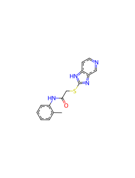 Cc1ccccc1NC(=O)CSc1nc2cnccc2[nH]1